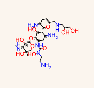 CN[C@@H]1[C@@H](O)[C@@H](O[C@H]2[C@H](NC(=O)N(O)CCN)C[C@H](N)C([C@H]3OC(CNCC(O)CO)=CC[C@H]3N)[C@@H]2O)OC[C@]1(C)O